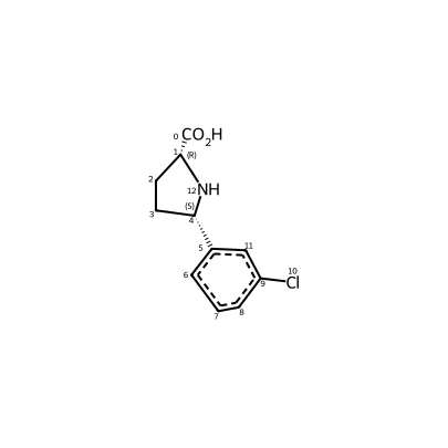 O=C(O)[C@H]1CC[C@@H](c2cccc(Cl)c2)N1